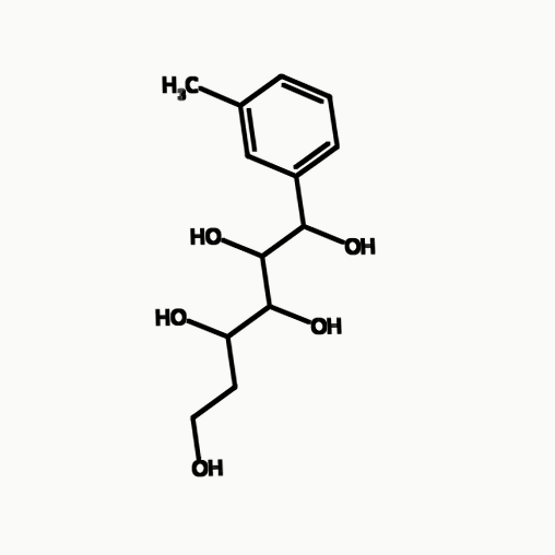 Cc1cccc(C(O)C(O)C(O)C(O)CCO)c1